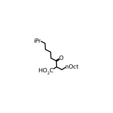 CCCCCCCCCC(C(=O)O)C(=O)CCCCC(C)C